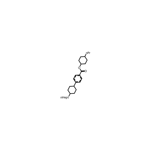 CCCCCCCC1CCC(c2ccc(C(=O)OC3CCC(CCC)CC3)cc2)CC1